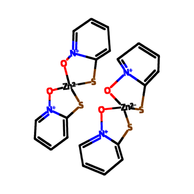 c1cc[n+]2c(c1)[S][Zn-2]1([O]2)[O][n+]2ccccc2[S]1.c1cc[n+]2c(c1)[S][Zn-2]1([O]2)[O][n+]2ccccc2[S]1